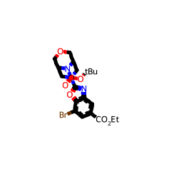 CCOC(=O)c1cc(Br)c2oc(N3CC4COCC(C3)N4C(=O)OC(C)(C)C)nc2c1